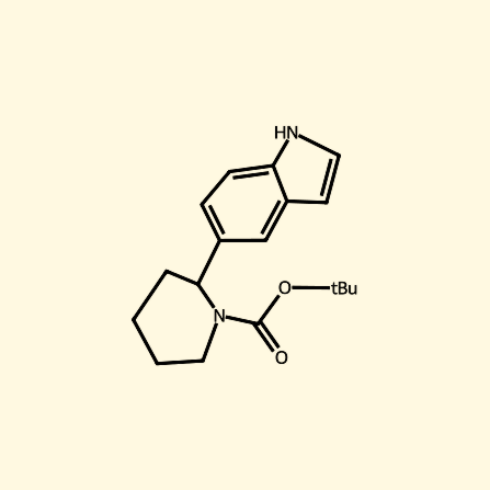 CC(C)(C)OC(=O)N1CCCCC1c1ccc2[nH]ccc2c1